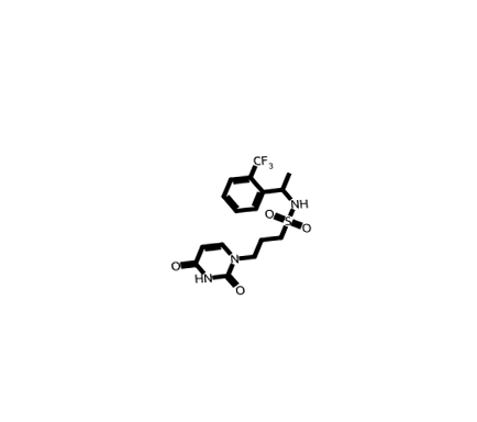 CC(NS(=O)(=O)CCCn1ccc(=O)[nH]c1=O)c1ccccc1C(F)(F)F